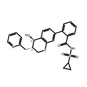 O=C(NS(=O)(=O)C1CC1)c1ccccc1-c1ccc2c(c1)OC[C@H](Cc1ccccn1)[C@H]2O